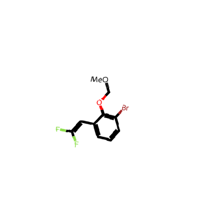 COCOc1c(Br)cccc1C=C(F)F